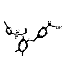 CCN(c1cc(C)c(C)cc1OCc1ccc(C(=O)O)cc1)S(=O)(=O)c1ccc(C)o1